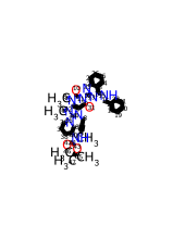 CC#CCN1c2c(n(C)c(=O)n(-c3nc(NCc4ccccc4)c4ccccc4n3)c2=O)N(C)C1N1CCCC(NC(=O)OC(C)(C)C)C1